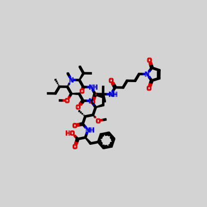 CC[C@H](C)[C@@H]([C@@H](CC(=O)N1CCC[C@H]1[C@H](OC)[C@@H](C)C(=O)N[C@@H](Cc1ccccc1)C(=O)O)OC)N(C)[C@H](C(=O)NC(=O)C(C)(C)NC(=O)CCCCN1C(=O)C=CC1=O)C(C)C